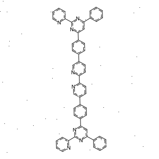 c1ccc(-c2cc(-c3ccc(-c4ccc(-c5ccc(-c6ccc(-c7cc(-c8ccccc8)nc(-c8ccccn8)n7)cc6)cn5)nc4)cc3)nc(-c3ccccn3)n2)cc1